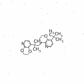 CC(C)(C)c1ccnc2c1OCCC2CC(C)(C)c1ccnc2c1OCCO2